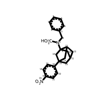 O=C(O)N(Cc1ccccc1)C12CC3CC1CC(c1ccc([N+](=O)[O-])cc1)(C3)C2